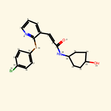 O=C(C=Cc1cccnc1Sc1ccc(Br)cc1)NC1CCC(O)CC1